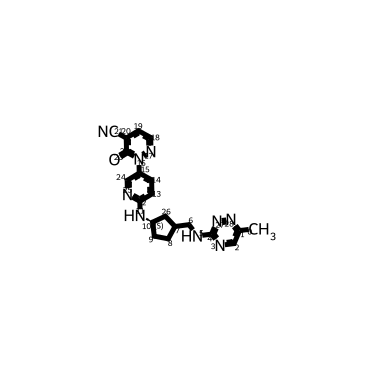 Cc1cnc(NCC2CC[C@H](Nc3ccc(-n4nccc(C#N)c4=O)cn3)C2)nn1